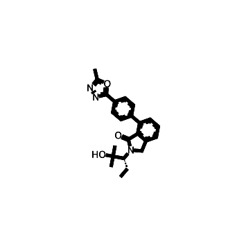 CC[C@@H](N1Cc2cccc(-c3ccc(-c4nnc(C)o4)cc3)c2C1=O)C(C)(C)O